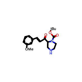 COc1cccc(C=CC(=O)C2CNCCN2C(=O)OC(C)(C)C)c1